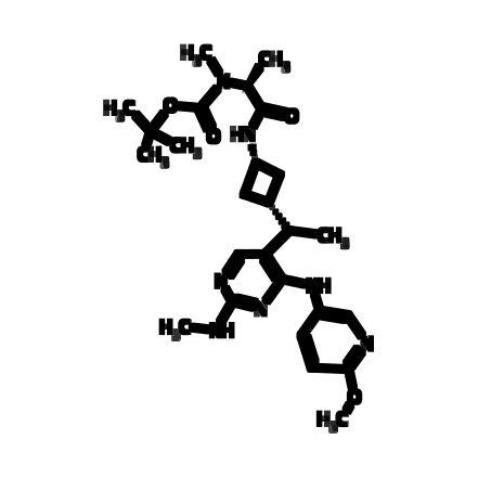 CNc1ncc(C(C)[C@H]2C[C@@H](NC(=O)[C@H](C)N(C)C(=O)OC(C)(C)C)C2)c(Nc2ccc(OC)nc2)n1